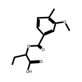 CCC(OC(=O)c1ccc(C)c(OC)c1)C(=O)O